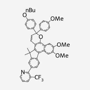 CCCCOc1ccc(C2(c3ccc(OC)cc3)C=Cc3c4c(c5cc(OC)c(OC)cc5c3O2)-c2ccc(-c3ncccc3C(F)(F)F)cc2C4(C)C)cc1